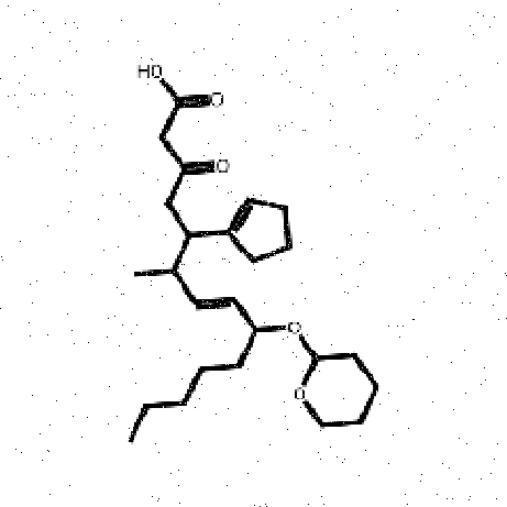 CCCCCC(C=CC(C)C(CC(=O)CC(=O)O)C1=CCCC1)OC1CCCCO1